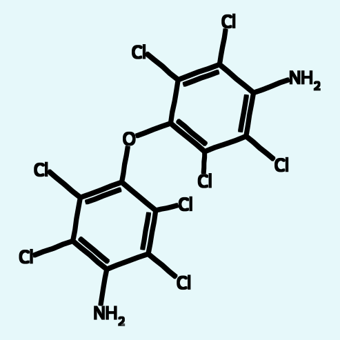 Nc1c(Cl)c(Cl)c(Oc2c(Cl)c(Cl)c(N)c(Cl)c2Cl)c(Cl)c1Cl